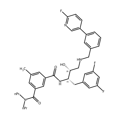 CCCN(CCC)C(=O)c1cc(C)cc(C(=O)N[C@@H](Cc2cc(F)cc(F)c2)[C@H](O)CNCc2cccc(-c3ccc(F)nc3)c2)c1